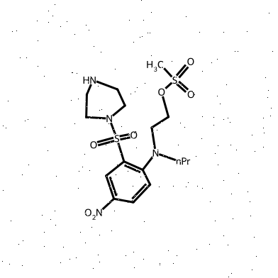 CCCN(CCOS(C)(=O)=O)c1ccc([N+](=O)[O-])cc1S(=O)(=O)N1CCNCC1